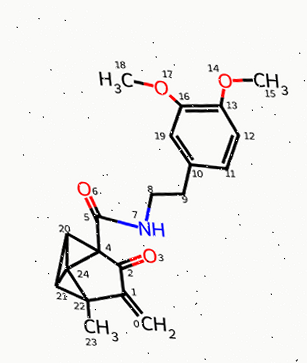 C=C1C(=O)C2(C(=O)NCCc3ccc(OC)c(OC)c3)C3C4C1(C)C432